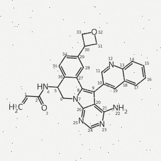 C=CC(=O)NC1Cn2c(c(-c3cnc4ccccc4c3)c3c(N)ncnc32)-c2cc(C3COC3)ccc21